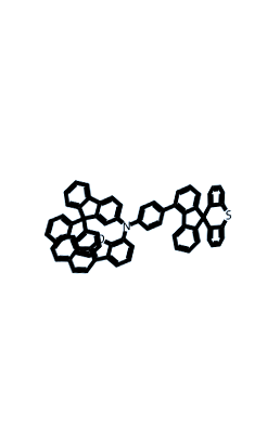 c1ccc(C2(c3ccccc3)c3ccccc3-c3ccc(N(c4ccc(-c5cccc6c5-c5ccccc5C65c6ccccc6Sc6ccccc65)cc4)c4cccc5c4oc4c6ccccc6ccc54)cc32)cc1